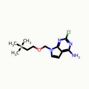 C[Si](C)(C)CCOCn1ccc2c(N)nc(Cl)nc21